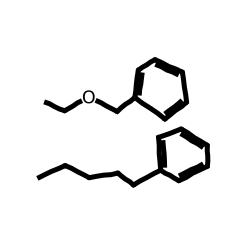 CCCCCc1ccccc1.CCOCc1ccccc1